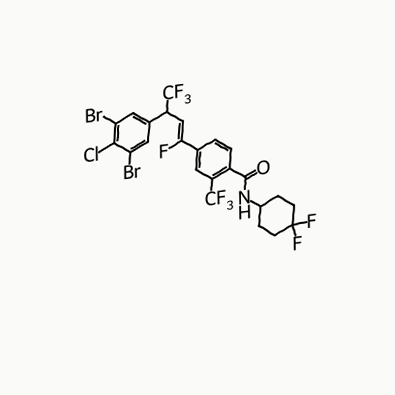 O=C(NC1CCC(F)(F)CC1)c1ccc(C(F)=CC(c2cc(Br)c(Cl)c(Br)c2)C(F)(F)F)cc1C(F)(F)F